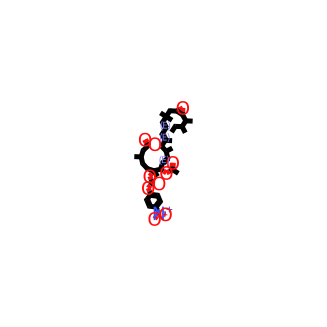 CCC(C)C(C)C1OC1CC(C)(C)/C=C/C=C(\C)C1OC(=O)CC(C)CCC(C)(OC(=O)Oc2ccc([N+](=O)[O-])cc2)C(OC(C)=O)/C=C/C1C